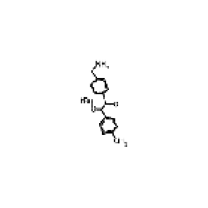 Cc1ccc(C(OC(C)(C)C)C(=O)c2ccc(CN)cc2)cc1